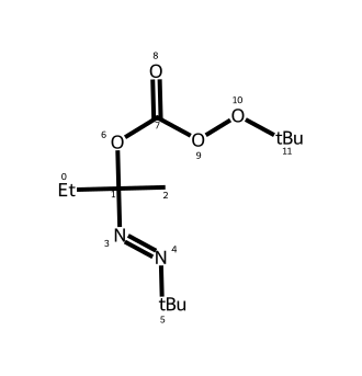 CCC(C)(N=NC(C)(C)C)OC(=O)OOC(C)(C)C